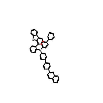 c1ccc(-c2ccc(N(c3ccc(-c4ccc(-c5ccc6ccccc6c5)cc4)cc3)c3ccccc3-c3cccc4c3sc3ccccc34)cc2)cc1